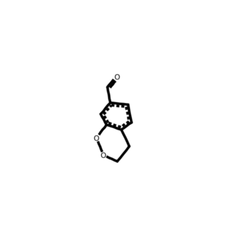 O=Cc1ccc2c(c1)OOCC2